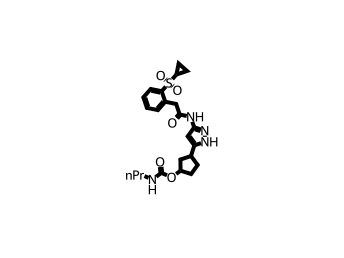 CCCNC(=O)OC1CCC(c2cc(NC(=O)Cc3ccccc3S(=O)(=O)C3CC3)n[nH]2)C1